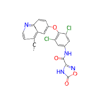 CCc1ccnc2ccc(Oc3c(Cl)cc(NC(=O)c4noc(=O)[nH]4)cc3Cl)cc12